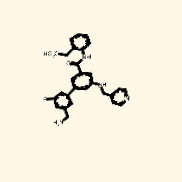 NCc1cc(F)cc(-c2cc(NCc3ccncc3)cc(C(=O)Nc3ccccc3CC(=O)O)c2)c1